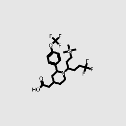 C[Si](C)(C)CCC(CCC(F)(F)F)N1CCC(CC(=O)O)CC1c1ccc(OC(F)(F)F)cc1